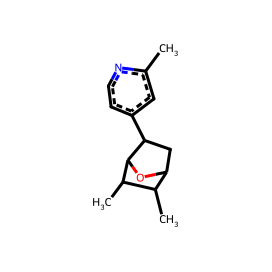 Cc1cc(C2CC3OC2C(C)C3C)ccn1